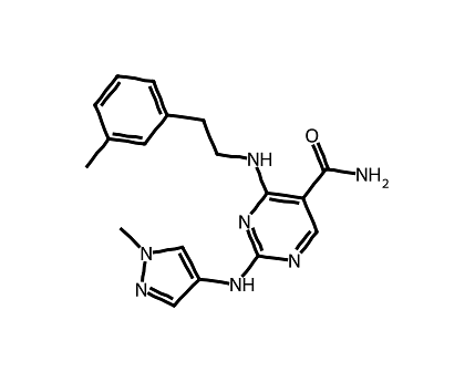 Cc1cccc(CCNc2nc(Nc3cnn(C)c3)ncc2C(N)=O)c1